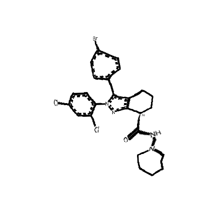 O=C(NN1CCCCC1)[C@@H]1CCCc2c1nn(-c1ccc(Cl)cc1Cl)c2-c1ccc(Br)cc1